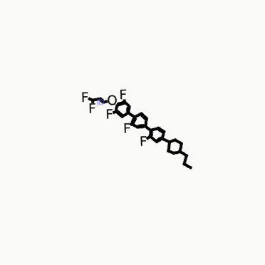 CCCC1CCC(c2ccc(-c3ccc(-c4cc(F)c(O/C=C/C(F)F)c(F)c4)c(F)c3)c(F)c2)CC1